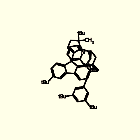 CC(C)(C)c1cc(-c2cc3c4c(c2)-c2ccc5c6cc(C(C)(C)C)ccc6n6c5[n+]2/C(=C(\C4)[n+]2ccccc2-3)CN2C6=CCC2(C)C(C)(C)C)cc(C(C)(C)C)c1